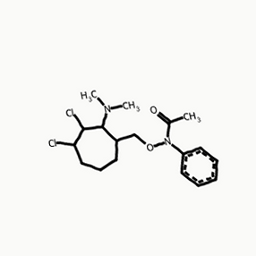 CC(=O)N(OCC1CCCC(Cl)C(Cl)C1N(C)C)c1ccccc1